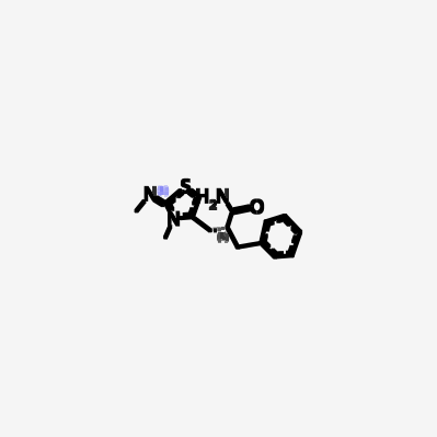 C/N=c1/scc(C[C@@H](Cc2ccccc2)C(N)=O)n1C